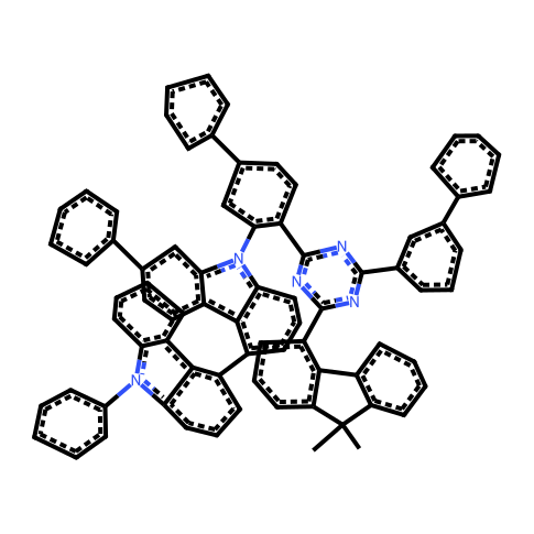 CC1(C)c2ccccc2-c2c(-c3nc(-c4cccc(-c5ccccc5)c4)nc(-c4ccc(-c5ccccc5)cc4-n4c5cc(-c6ccccc6)ccc5c5c(-c6cccc7c6c6ccccc6n7-c6ccccc6)cccc54)n3)cccc21